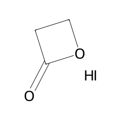 I.O=C1CCO1